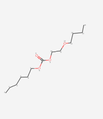 CCCCCCOC(=O)OCCOCCCC